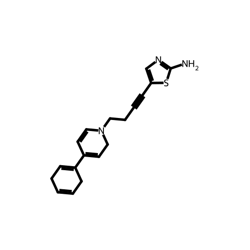 Nc1ncc(C#CCCN2C=CC(C3=CCC=CC3)=CC2)s1